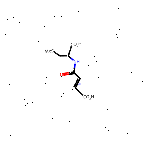 CSCC(NC(=O)/C=C/C(=O)O)C(=O)O